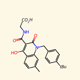 Cc1ccc2c(O)c(C(=O)NCC(=O)O)c(=O)n(Cc3ccc(C(C)(C)C)cc3)c2c1